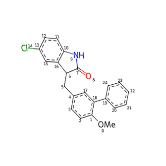 COc1ccc(CC2C(=O)Nc3ccc(Cl)cc32)cc1-c1ccccc1